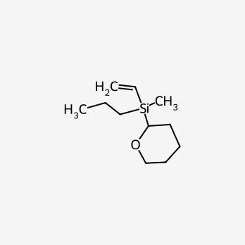 C=C[Si](C)(CCC)C1CCCCO1